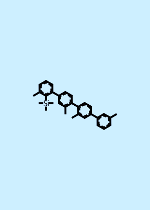 Cc1cccc(-c2ccc(-c3ccc(-c4cccc(C)c4[Si](C)(C)C)cc3C)c(C)c2)c1